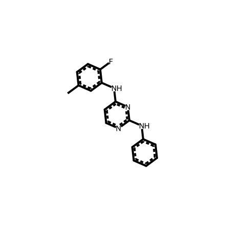 Cc1ccc(F)c(Nc2ccnc(Nc3ccccc3)n2)c1